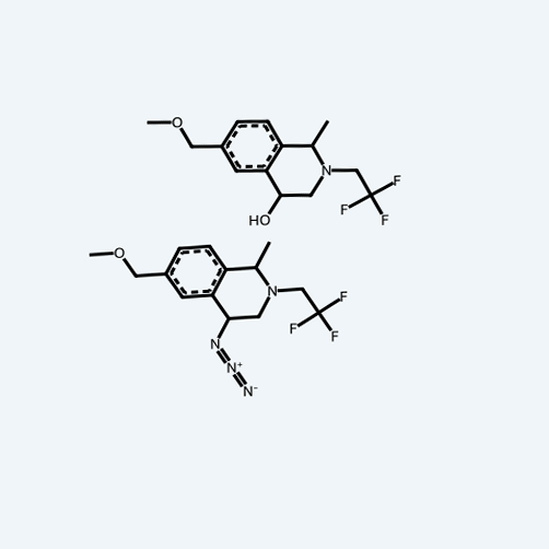 COCc1ccc2c(c1)C(N=[N+]=[N-])CN(CC(F)(F)F)C2C.COCc1ccc2c(c1)C(O)CN(CC(F)(F)F)C2C